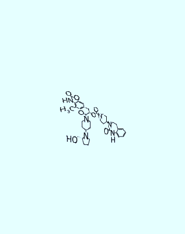 Cc1cc(C[C@@H](OC(=O)N2CCC(N3CCc4ccccc4NC3=O)CC2)C(=O)N2CCC(N3CCC[C@@H]3CO)CC2)cc2oc(=O)[nH]c12